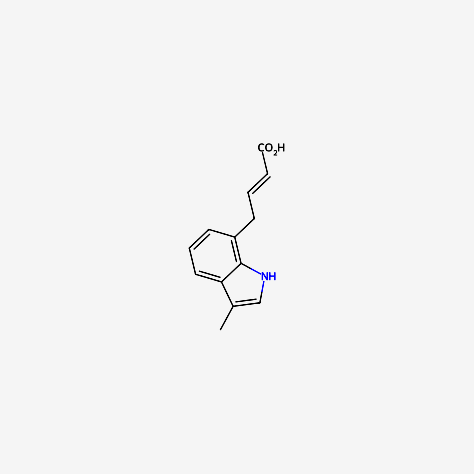 Cc1c[nH]c2c(C/C=C/C(=O)O)cccc12